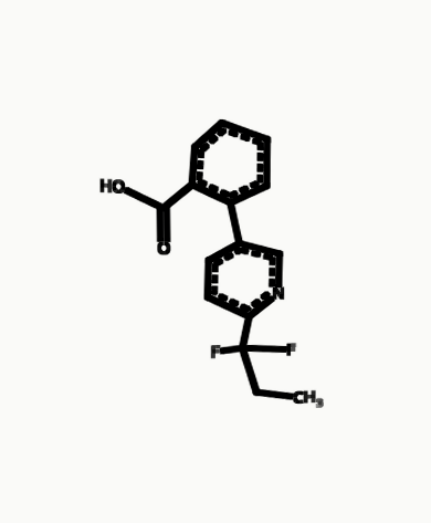 CCC(F)(F)c1ccc(-c2ccccc2C(=O)O)cn1